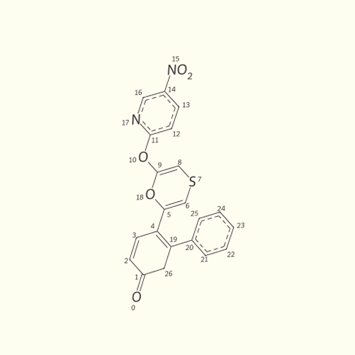 O=C1C=CC(C2=CSC=C(Oc3ccc([N+](=O)[O-])cn3)O2)=C(c2ccccc2)C1